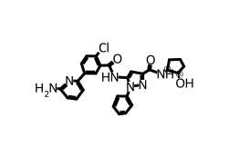 Nc1cccc(-c2ccc(Cl)c(C(=O)Nc3cc(C(=O)N[C@H]4CCC[C@H]4O)nn3-c3ccccc3)c2)n1